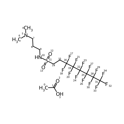 CC(=O)O.CN(C)CCCNS(=O)(=O)CCC(F)(F)C(F)(F)C(F)(F)C(F)(F)C(F)(F)C(F)(F)F